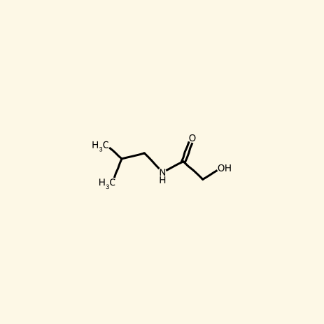 CC(C)CNC(=O)CO